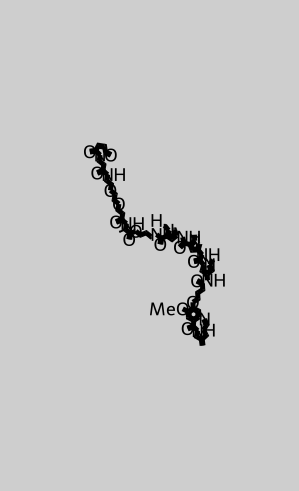 C=C1C[C@@H]2C=Nc3cc(OCCCC(=O)Nc4cc(C(=O)Nc5cc(C(=O)Nc6cc(C(=O)NCCCOC(=O)[C@@H](C)NC(=O)CCOCCOCCNC(=O)CCN7C(=O)C=CC7=O)n(C)c6)n(C)c5)n(C)c4)c(OC)cc3C(=O)N2C1